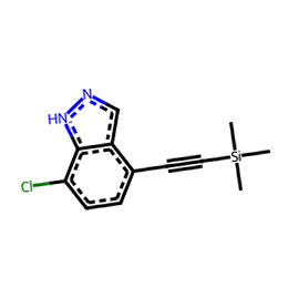 C[Si](C)(C)C#Cc1ccc(Cl)c2[nH]ncc12